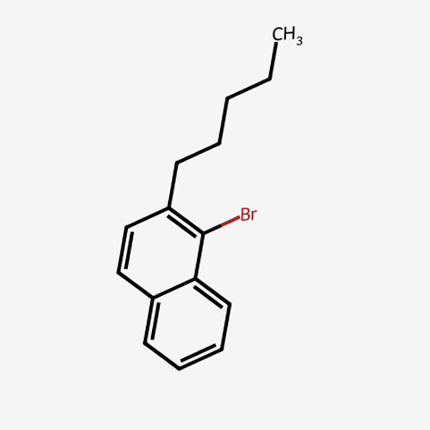 CCCCCc1ccc2ccccc2c1Br